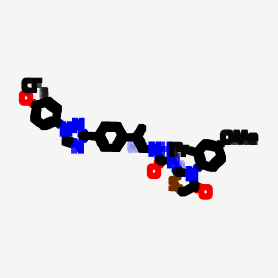 COc1ccc(N2C(=O)CS/C2=N\C(=O)N/C=C(\C)c2ccc(-c3ncn(-c4ccc(OC(F)(F)F)cc4)n3)cc2)c(C(C)C)c1